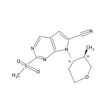 C[C@H]1COCC[C@@H]1n1c(C#N)cc2cnc(S(C)(=O)=O)nc21